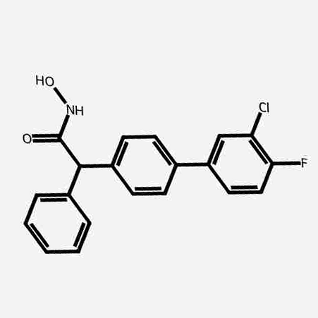 O=C(NO)C(c1ccccc1)c1ccc(-c2ccc(F)c(Cl)c2)cc1